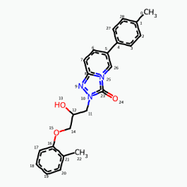 Cc1ccc(-c2ccc3nn(CC(O)COc4ccccc4C)c(=O)n3c2)cc1